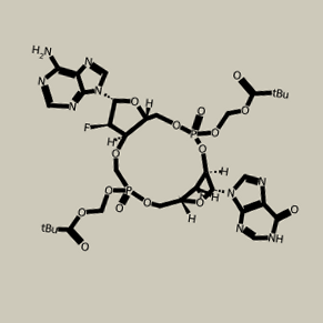 CC(C)(C)C(=O)OCOP1(=O)CO[C@H]2[C@@H](F)[C@H](n3cnc4c(N)ncnc43)O[C@@H]2COP(=O)(OCOC(=O)C(C)(C)C)O[C@@H]2[C@H](F)[C@@H](CO1)O[C@H]2n1cnc2c(=O)[nH]cnc21